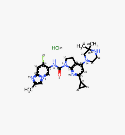 Cc1cn2cc(NC(=O)N3CCc4c(N5CCNC(C)(C)C5)cc(C5CC5)nc43)c(F)cc2n1.Cl